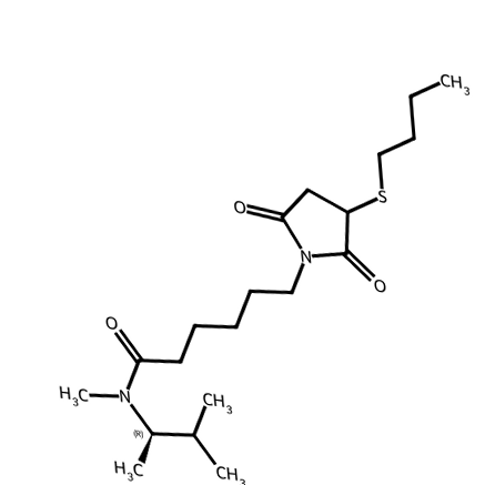 CCCCSC1CC(=O)N(CCCCCC(=O)N(C)[C@H](C)C(C)C)C1=O